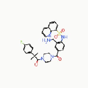 CC(C)(C(=O)N1CCN(C(=O)c2ccc(NS(=O)(=O)c3cccc4cccnc34)c(CN)c2)CC1)c1ccc(F)cc1